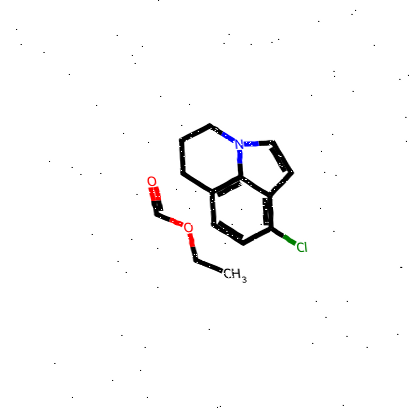 CCOC=O.Clc1ccc2c3c1ccn3CCC2